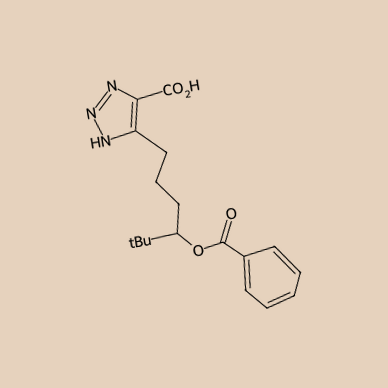 CC(C)(C)C(CCCc1[nH]nnc1C(=O)O)OC(=O)c1ccccc1